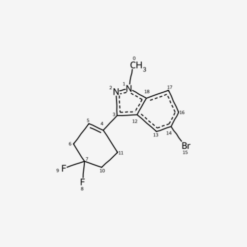 Cn1nc(C2=CCC(F)(F)CC2)c2cc(Br)ccc21